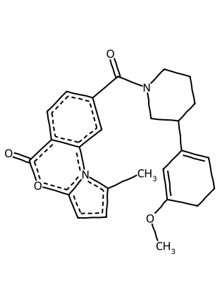 COC1=CC(C2CCCN(C(=O)c3ccc4c(=O)oc5ccc(C)n5c4c3)C2)=CCC1